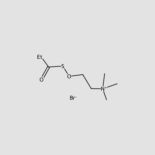 CCC(=O)SOCC[N+](C)(C)C.[Br-]